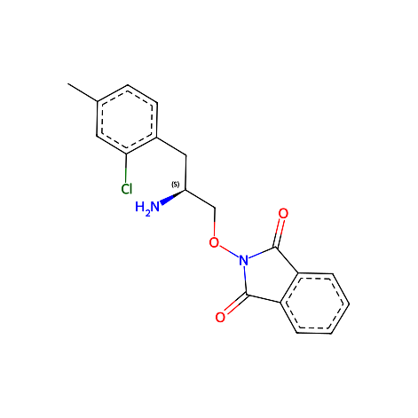 Cc1ccc(C[C@H](N)CON2C(=O)c3ccccc3C2=O)c(Cl)c1